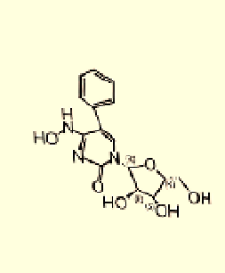 O=c1nc(NO)c(-c2ccccc2)cn1[C@@H]1O[C@H](CO)[C@@H](O)[C@H]1O